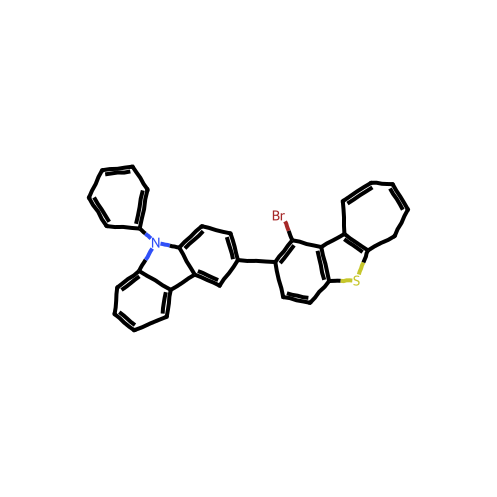 Brc1c(-c2ccc3c(c2)c2ccccc2n3-c2ccccc2)ccc2sc3c(c12)C=CC=CC3